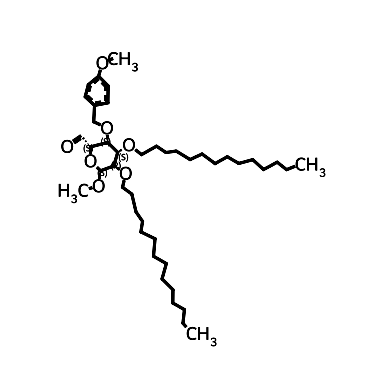 CCCCCCCCCCCCCCO[C@@H]1[C@@H](OCCCCCCCCCCCCCC)[C@@H](OC)O[C@H](C=O)[C@H]1OCc1ccc(OC)cc1